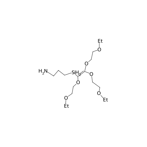 CCOCCOC(OCCOCC)=C(OCCOCC)[SiH2]CCCN